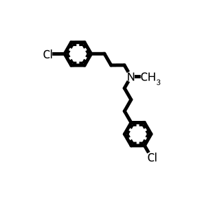 CN(CCCc1ccc(Cl)cc1)CCCc1ccc(Cl)cc1